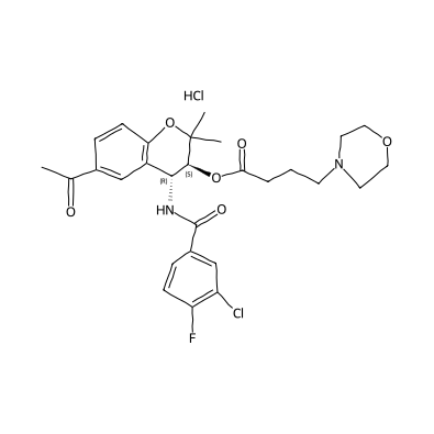 CC(=O)c1ccc2c(c1)[C@@H](NC(=O)c1ccc(F)c(Cl)c1)[C@H](OC(=O)CCCN1CCOCC1)C(C)(C)O2.Cl